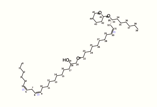 CCCCC/C=C\C/C=C\CCCCCCCCC(O)COCCCCCCCC/C=C\C[C@@H](CCCCCC)OC1CCCCO1